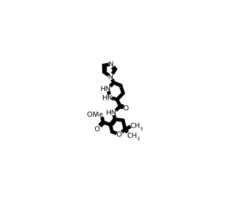 COC(=O)C1=C(NC(=O)C2CCC(n3ccnc3)NN2)CC(C)(C)OC1